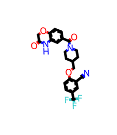 N#Cc1cc(C(F)(F)F)ccc1OCC1CCN(C(=O)c2ccc3c(c2)NC(=O)CO3)CC1